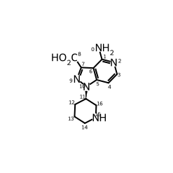 Nc1nccc2c1c(C(=O)O)nn2[C@@H]1CCCNC1